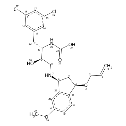 C=CCO[C@@H]1C[C@H](NC[C@@H](O)[C@H](Cc2cc(Cl)cc(Cl)c2)NC(=O)O)c2cc(OC)ccc21